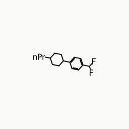 CCCC1CCC(c2ccc(C(F)F)cc2)CC1